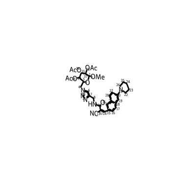 COC1OC(Cn2cc(CNC(=O)C(C#N)=Cc3ccc4cc(N5CCCCC5)ccc4c3)nn2)C(OC(C)=O)C(OC(C)=O)C1OC(C)=O